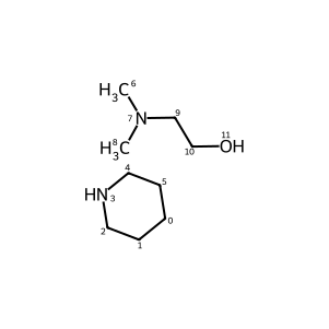 C1CCNCC1.CN(C)CCO